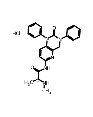 CN[C@@H](C)C(=O)Nc1ccc2c(n1)CN(c1ccccc1)C(=O)N2c1ccccc1.Cl